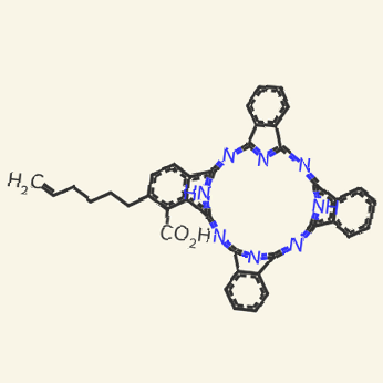 C=CCCCCc1ccc2c3nc4nc(nc5[nH]c(nc6nc(nc([nH]3)c2c1C(=O)O)-c1ccccc1-6)c1ccccc51)-c1ccccc1-4